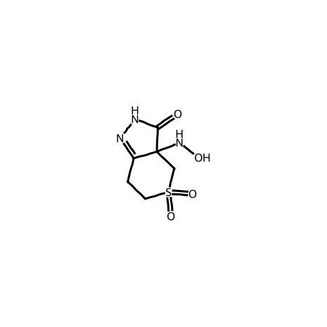 O=C1NN=C2CCS(=O)(=O)CC12NO